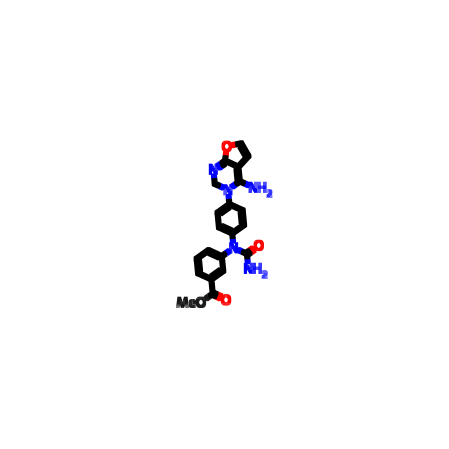 COC(=O)c1cccc(N(C(N)=O)c2ccc(N3CN=c4occc4=C3N)cc2)c1